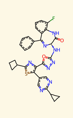 O=C1Nc2c(F)cccc2C(c2ccccc2)=N[C@@H]1Nc1nnc(-c2nc(C3CCC3)sc2-c2cnc(C3CC3)nc2)o1